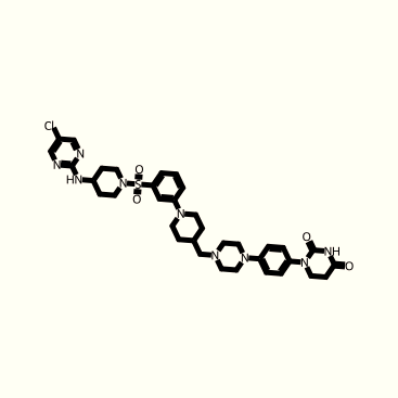 O=C1CCN(c2ccc(N3CCN(CC4CCN(c5cccc(S(=O)(=O)N6CCC(Nc7ncc(Cl)cn7)CC6)c5)CC4)CC3)cc2)C(=O)N1